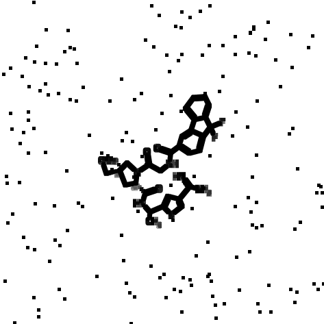 COC[C@@H]1C[C@@H](C(=O)NC(C)c2cc(C(=N)N)cs2)N(C(=O)CNC(=O)c2ccc3c(c2)-c2ccccc2C3(F)F)C1